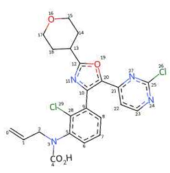 C=CCN(C(=O)O)c1cccc(-c2nc(C3CCOCC3)oc2-c2ccnc(Cl)n2)c1Cl